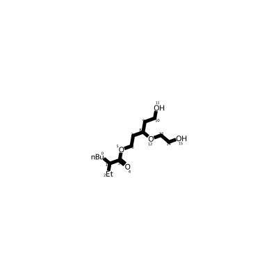 CCCCC(CC)C(=O)OCCC(CCO)OCCO